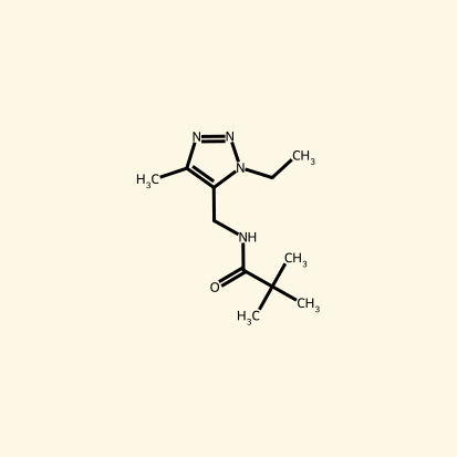 CCn1nnc(C)c1CNC(=O)C(C)(C)C